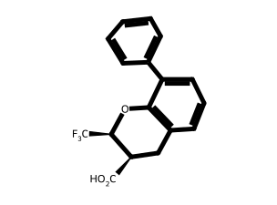 O=C(O)[C@@H]1Cc2cccc(-c3ccccc3)c2O[C@@H]1C(F)(F)F